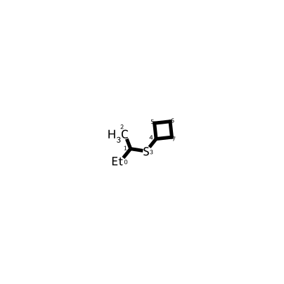 CC[C](C)SC1CCC1